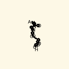 CC(=O)N1CCn2c(C3CCOCC3)nc(-c3cccc4cc(-c5ccc(C(=O)OCC#Cc6cccc7c6CN(C6CCC(=O)NC6=O)C7=O)cc5)ncc34)c2C1